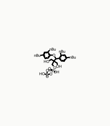 CCCCc1ccc(OC(c2ccc(CCCC)cc2CCCC)C(CO)(CO)COP(=O)(O)OP(=O)(O)O)c(CCCC)c1